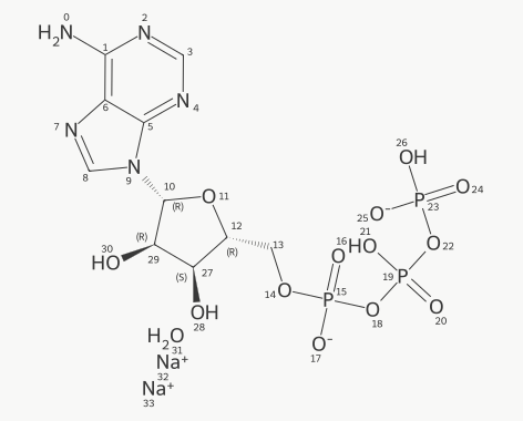 Nc1ncnc2c1ncn2[C@@H]1O[C@H](COP(=O)([O-])OP(=O)(O)OP(=O)([O-])O)[C@@H](O)[C@H]1O.O.[Na+].[Na+]